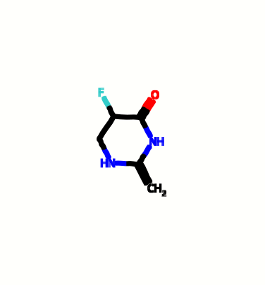 C=C1NCC(F)C(=O)N1